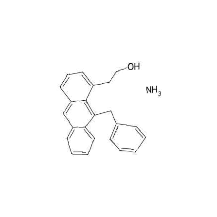 N.OCCc1cccc2cc3ccccc3c(Cc3ccccc3)c12